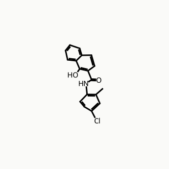 Cc1cc(Cl)ccc1NC(=O)c1ccc2ccccc2c1O